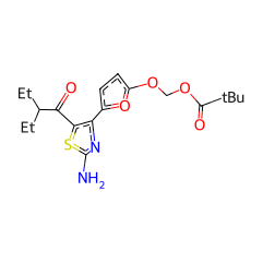 CCC(CC)C(=O)c1sc(N)nc1-c1ccc(OCOC(=O)C(C)(C)C)o1